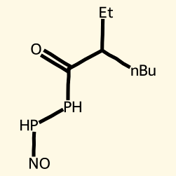 CCCCC(CC)C(=O)PPN=O